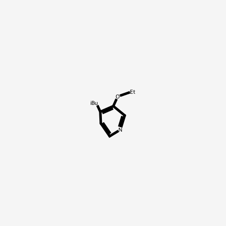 CCOc1cnccc1C(C)CC